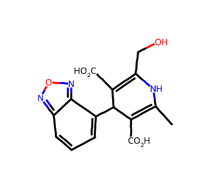 CC1=C(C(=O)O)C(c2cccc3nonc23)C(C(=O)O)=C(CO)N1